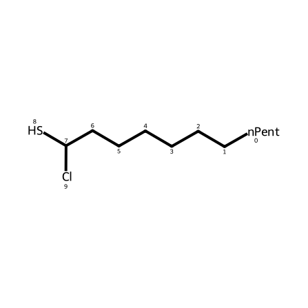 CCCCCCCCCCCC(S)Cl